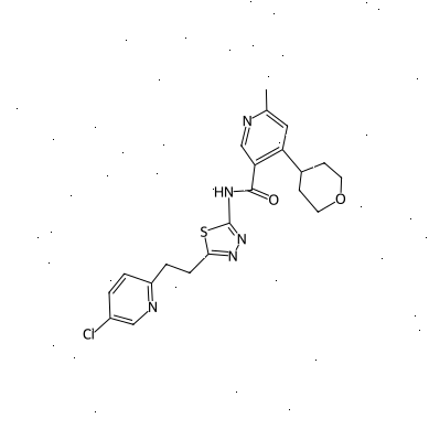 Cc1cc(C2CCOCC2)c(C(=O)Nc2nnc(CCc3ccc(Cl)cn3)s2)cn1